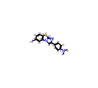 CN(C)c1ccc(-c2cn3c(n2)sc2ccc(I)cc23)cc1